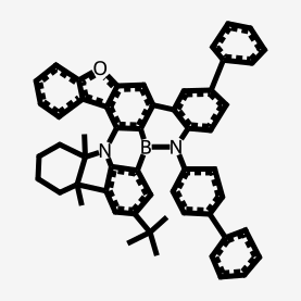 CC(C)(C)c1cc2c3c(c1)C1(C)CCCCC1(C)N3c1c3c(cc4oc5ccccc5c14)-c1cc(-c4ccccc4)ccc1N(c1ccc(-c4ccccc4)cc1)B23